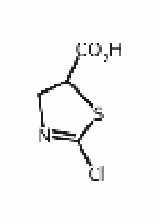 O=C(O)C1CN=C(Cl)S1